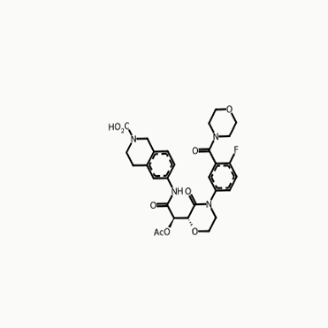 CC(=O)O[C@@H](C(=O)Nc1ccc2c(c1)CCN(C(=O)O)C2)[C@H]1OCCN(c2ccc(F)c(C(=O)N3CCOCC3)c2)C1=O